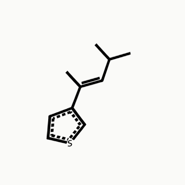 C/C(=C\C(C)C)c1ccsc1